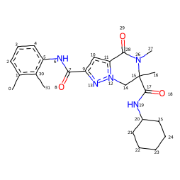 Cc1cccc(NC(=O)c2cc3n(n2)CC(C)(C(=O)NC2CCCCC2)N(C)C3=O)c1C